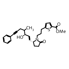 COC(=O)c1ccc(CCCN2C(=O)CC[C@@H]2C=C[C@@H](O)C(C)CC#Cc2ccccc2)s1